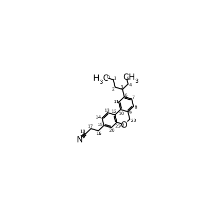 CCCC(CC)c1ccc2c(c1)-c1ccc(CCC#N)cc1OC2